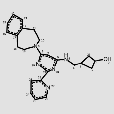 O[C@H]1C[C@@H](CNc2cc(N3CCc4ccccc4CC3)nc(-c3ccccn3)n2)C1